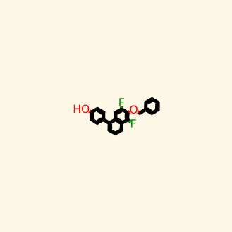 Oc1ccc(C2=CCCc3c2cc(F)c(OCc2ccccc2)c3F)cc1